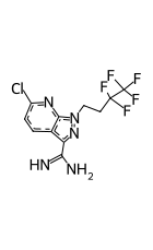 N=C(N)c1nn(CCC(F)(F)C(F)(F)F)c2nc(Cl)ccc12